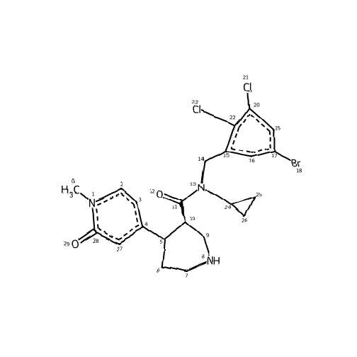 Cn1ccc(C2CCNC[C@@H]2C(=O)N(Cc2cc(Br)cc(Cl)c2Cl)C2CC2)cc1=O